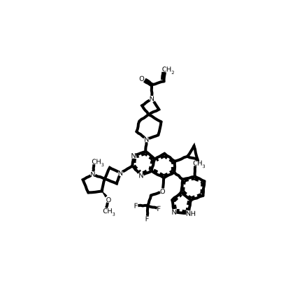 C=CC(=O)N1CC2(CCN(c3nc(N4CC5(C4)[C@@H](OC)CCN5C)nc4c(OCC(F)(F)F)c(-c5c(C)ccc6[nH]ncc56)c(C5CC5)cc34)CC2)C1